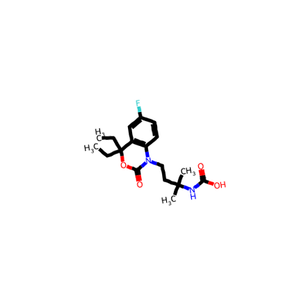 CCC1(CC)OC(=O)N(CCC(C)(C)NC(=O)O)c2ccc(F)cc21